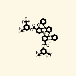 O=C(Oc1cc(C(F)(F)F)cc(C(F)(F)F)c1)c1ccc2c3c1Oc1ccccc1B3c1cccc3c1N2c1ccc(C(=O)Oc2cc(C(F)(F)F)cc(C(F)(F)F)c2)c2c1B3c1ccccc1O2